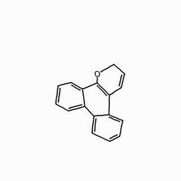 C1=Cc2c(c3ccccc3c3ccccc23)OC1